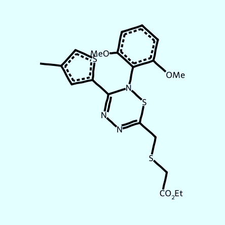 CCOC(=O)CSCC1=NN=C(c2cc(C)cs2)N(c2c(OC)cccc2OC)S1